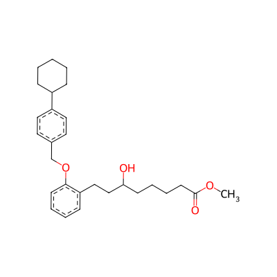 COC(=O)CCCCC(O)CCc1ccccc1OCc1ccc(C2CCCCC2)cc1